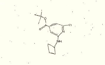 CC(C)(C)OC(=O)c1cc(Cl)nc(NC2CCC2)c1